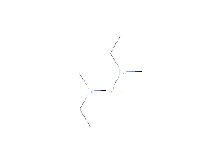 CC[N](C)[Mo][N](C)CC